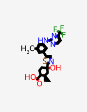 Cc1cc(Nc2nccc(C(F)(F)F)n2)cc(-c2cnc(C3(O)CCC(C(=O)O)C4(CC4)C3)s2)c1